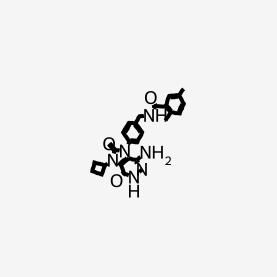 Cc1ccc(C)c(C(=O)NCc2ccc(-n3c(=O)n(C4CCC4)c4c(=O)[nH]nc(N)c43)cc2)c1